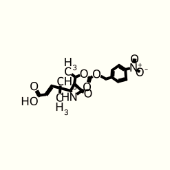 CC(OC(=O)OCc1ccc([N+](=O)[O-])cc1)C1C(=O)NC1C(C)(C)/C=C/C(=O)O